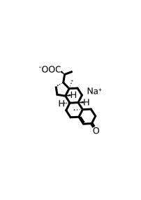 C[C@H](C(=O)[O-])[C@H]1CC[C@H]2[C@@H]3CCC4=CC(=O)CC[C@]4(C)[C@H]3CC[C@]12C.[Na+]